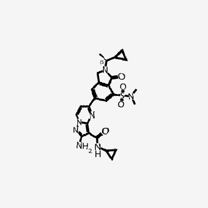 C[C@@H](C1CC1)N1Cc2cc(-c3ccn4nc(N)c(C(=O)NC5CC5)c4n3)cc(S(=O)(=O)N(C)C)c2C1=O